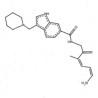 C=C(CNC(=O)c1ccc2c(CN3CCCCC3)c[nH]c2c1)/C(C)=C\C=C/N